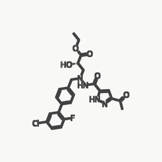 CCOC(=O)[C@@H](O)CN(Cc1ccc(-c2cc(Cl)ccc2F)cc1)NC(=O)c1cc(C(C)=O)n[nH]1